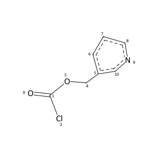 O=C(Cl)OCc1cccnc1